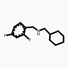 Fc1ccc(CNCC2CCCCC2)c(F)c1